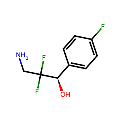 NCC(F)(F)[C@H](O)c1ccc(F)cc1